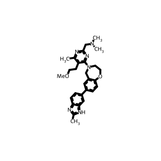 COCCc1c(C)nc(CN(C)C)nc1N1CCOc2ccc(-c3ccc4nc(C)[nH]c4c3)cc2C1